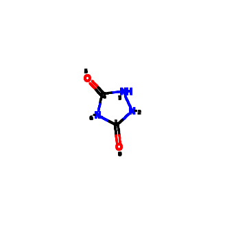 O=C1[N]NC(=O)[N]1